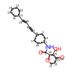 O=C(Nc1ccc(C#CC#Cc2ccccc2)cc1)c1occc(=O)c1O